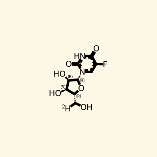 [2H]C(O)[C@H]1O[C@@H](n2cc(F)c(=O)[nH]c2=O)[C@H](O)[C@@H]1O